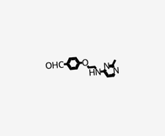 Cc1nccc(NCCOc2ccc(C=O)cc2)n1